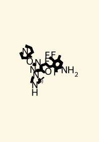 Cc1cc(N)c(F)c(C2Cc3nc(OCC45CCCN4CCC5)nc(N4CCNC[C@@H]4C)c3CO2)c1C(F)(F)F